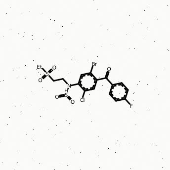 CCS(=O)(=O)CCN(c1cc(Br)c(C(=O)c2ccc(F)cc2)cc1Cl)[SH](=O)=O